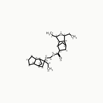 CCC1OC(CC)C2C3CC(CC3C(=O)OCOC3(CC)CC4CC3C3CCCC43)C12